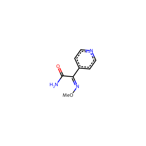 CON=C(C(N)=O)c1ccncc1